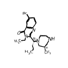 CCC[C@H](c1nc2ccc(Br)cc2c(=O)n1CC)N1CCNC[C@@H](C)C1